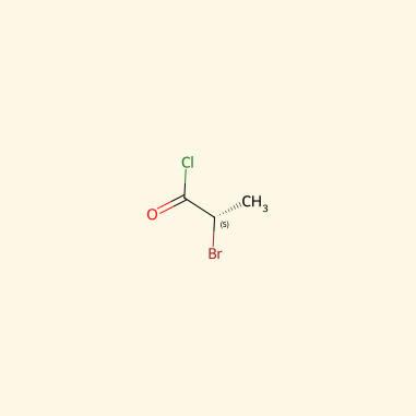 C[C@H](Br)C(=O)Cl